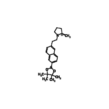 C[C@@H]1CCCN1CCc1ccc2cc(B3OC(C)(C)C(C)(C)O3)ccc2c1